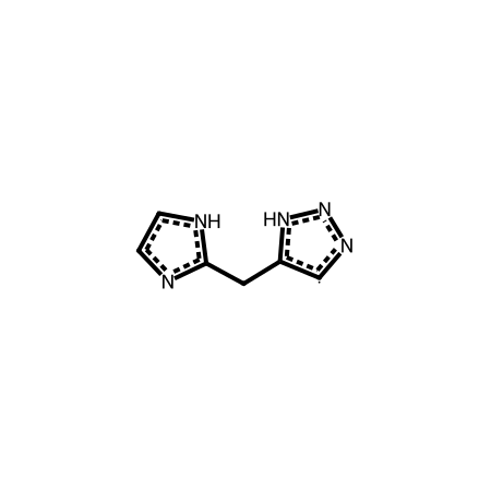 [c]1nn[nH]c1Cc1ncc[nH]1